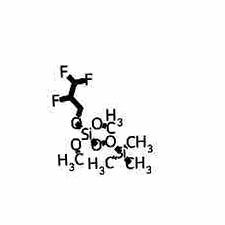 CO[Si](OC)(OCC(F)C(F)F)OO[Si](C)(C)C